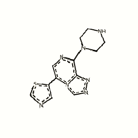 c1ncc(-c2cnc(N3CCNCC3)c3nncn23)s1